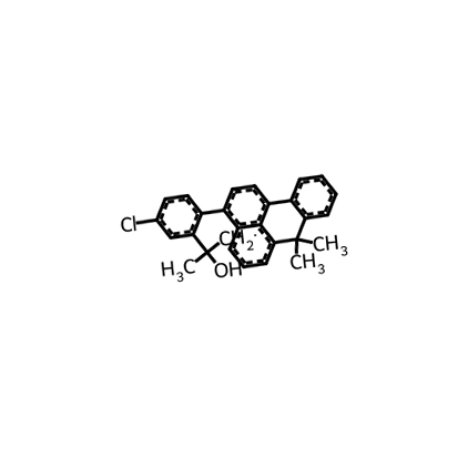 [CH2]C(C)(O)c1cc(Cl)ccc1-c1ccc2c3c(cccc13)C(C)(C)c1ccccc1-2